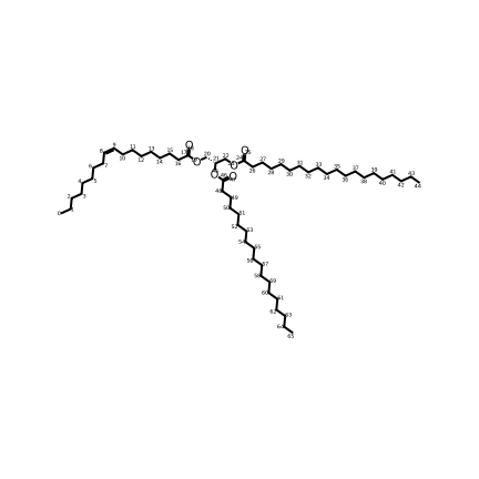 CCCCCCCC/C=C\CCCCCCCC(=O)OC[C@H](COC(=O)CCCCCCCCCCCCCCCCCCC)OC(=O)CCCCCCCCCCCCCCCCCC